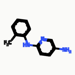 Nc1ccc(Nc2ccccc2C(F)(F)F)nc1